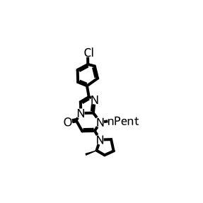 CCCCCn1c(N2CCC[C@H]2C)cc(=O)n2cc(-c3ccc(Cl)cc3)nc12